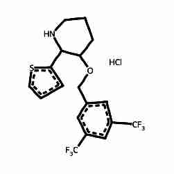 Cl.FC(F)(F)c1cc(COC2CCCNC2c2cccs2)cc(C(F)(F)F)c1